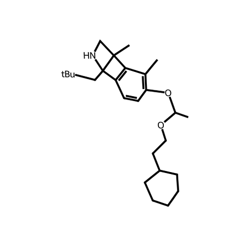 Cc1c(OC(C)OCCC2CCCCC2)ccc2c1C1(C)CNC21CC(C)(C)C